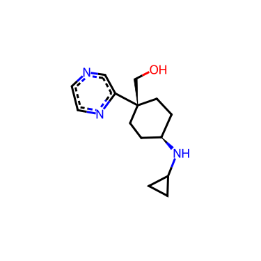 OC[C@]1(c2cnccn2)CC[C@H](NC2CC2)CC1